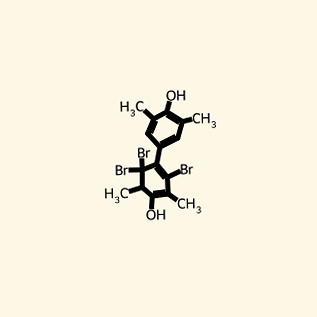 CC1=C(O)C(C)C(Br)(Br)C(c2cc(C)c(O)c(C)c2)=C1Br